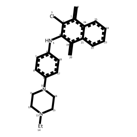 C=c1c(Cl)c(Nc2ccc(N3CCN(CC)CC3)cc2)c(=C)c2ccccc12